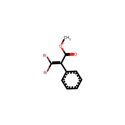 COC(=O)C(=C(Br)Br)c1ccccc1